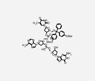 COc1ccc(C(OC[C@H]2O[C@@H](n3cc(C)c(=O)[nH]c3=O)CC2O[P@](=O)(S)OC[C@H]2O[C@@H](n3cnc4c(N)ncnc43)CC2O[P@](S)OC[C@H]2O[C@@H](n3cnc4c(=O)[nH]c(N)nc43)CC2O)(c2ccccc2)c2ccc(OC)cc2)cc1